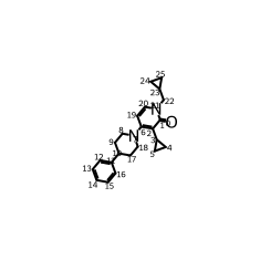 O=c1c(C2CC2)c(N2CCC(c3ccccc3)CC2)ccn1CC1CC1